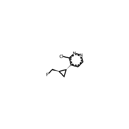 FC[C@@H]1C[C@H]1c1ccnnc1Cl